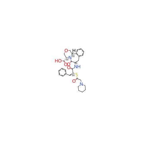 O=C(CN1CCCCC1)S[C@@H](Cc1ccccc1)C(=O)N[C@H]1Cc2ccccc2[C@H]2COC[C@@H](C(=O)O)N2C1=O